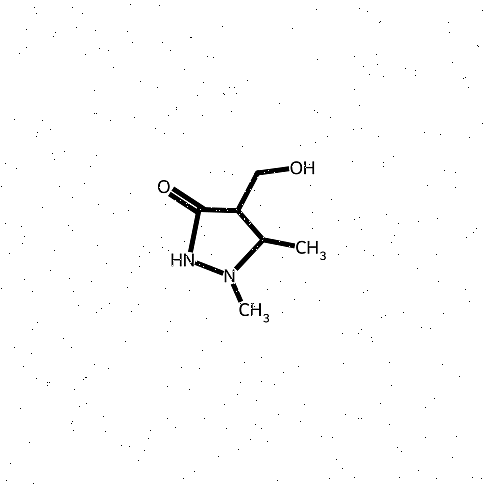 CC1C(CO)C(=O)NN1C